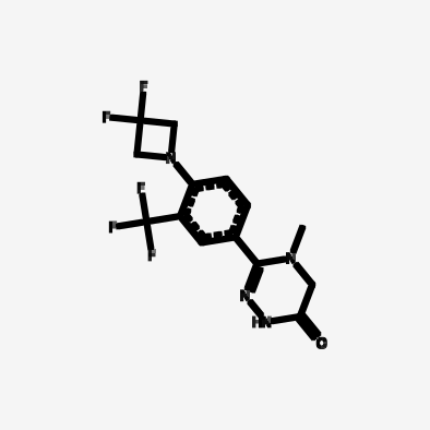 CN1CC(=O)NN=C1c1ccc(N2CC(F)(F)C2)c(C(F)(F)F)c1